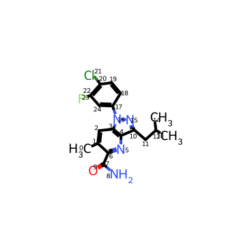 Cc1cc2c(nc1C(N)=O)c(CC(C)C)nn2-c1ccc(Cl)c(F)c1